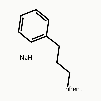 CCCCCCCCc1ccccc1.[NaH]